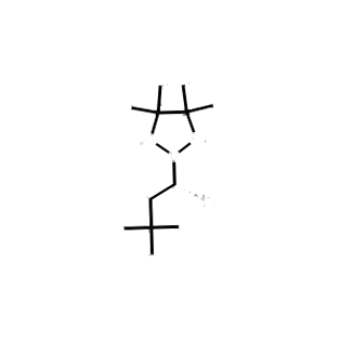 CC(C)(C)C[C@@H](N)B1OC(C)(C)C(C)(C)O1